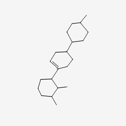 CC1CCC(C2CC=C(C3CCCC(F)C3F)CC2)CC1